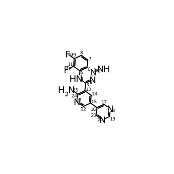 N=N/N=C(\Nc1cccc(F)c1F)c1cc(-c2cncnc2)cnc1N